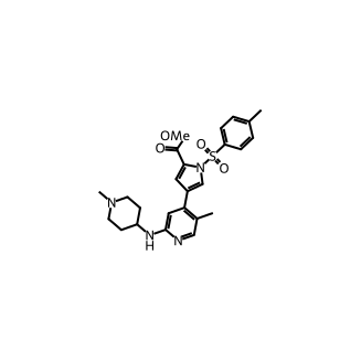 COC(=O)c1cc(-c2cc(NC3CCN(C)CC3)ncc2C)cn1S(=O)(=O)c1ccc(C)cc1